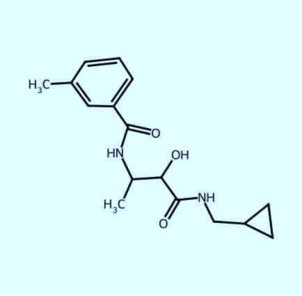 Cc1cccc(C(=O)NC(C)C(O)C(=O)NCC2CC2)c1